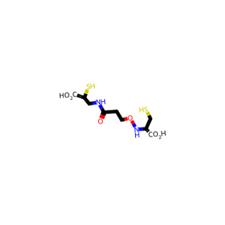 O=C(CCONC(CS)C(=O)O)NCC(S)C(=O)O